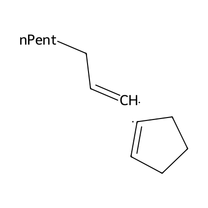 [CH]=CCCCCCC.[C]1=CCCC1